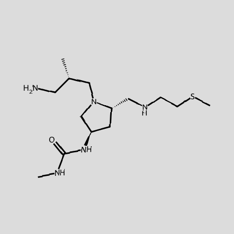 CNC(=O)N[C@@H]1C[C@@H](CNCCSC)N(C[C@@H](C)CN)C1